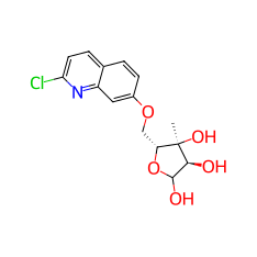 C[C@@]1(O)[C@@H](COc2ccc3ccc(Cl)nc3c2)OC(O)[C@@H]1O